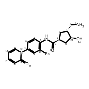 NC[C@H]1C[C@H](C(=O)Nc2ccc(-n3ccccc3=O)cc2F)C[C@@H]1O